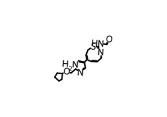 N/C=C(\C=N/CCOC1CCCC1)C1=C/CS/C(NC=O)=N\C/C=C\1